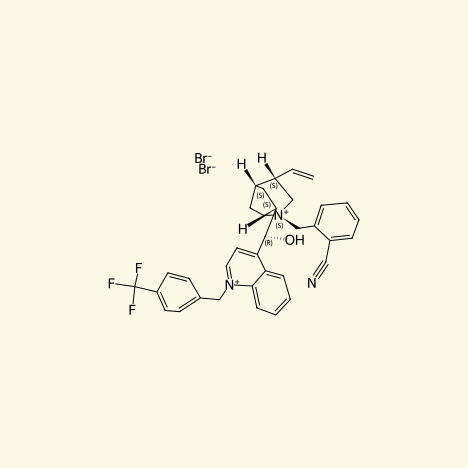 C=C[C@@H]1C[N@+]2(Cc3ccccc3C#N)CC[C@H]1C[C@H]2[C@H](O)c1cc[n+](Cc2ccc(C(F)(F)F)cc2)c2ccccc12.[Br-].[Br-]